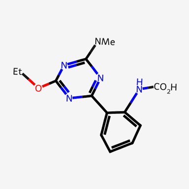 CCOc1nc(NC)nc(-c2ccccc2NC(=O)O)n1